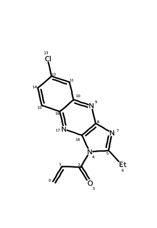 C=CC(=O)n1c(CC)nc2nc3cc(Cl)ccc3nc21